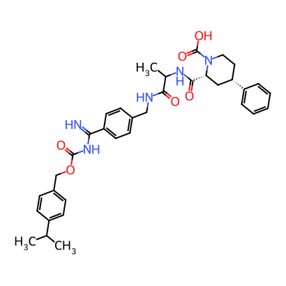 CC(NC(=O)[C@H]1C[C@@H](c2ccccc2)CCN1C(=O)O)C(=O)NCc1ccc(C(=N)NC(=O)OCc2ccc(C(C)C)cc2)cc1